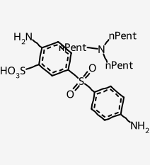 CCCCCN(CCCCC)CCCCC.Nc1ccc(S(=O)(=O)c2ccc(N)c(S(=O)(=O)O)c2)cc1